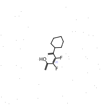 C=C(O)/C(F)=C(/F)C(=C)C1CCCCC1